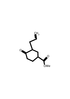 C=CCC1CC(C(=O)OC)CCC1=O